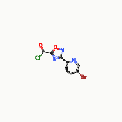 O=C(Cl)c1nc(-c2ccc(Br)cn2)no1